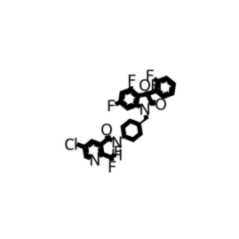 O=C(N[C@H]1CC[C@H](CN2C(=O)C(O)(c3ccccc3F)c3c(F)cc(F)cc32)CC1)c1cc(Cl)cnc1C(F)F